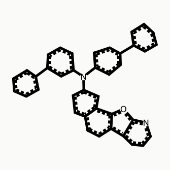 c1ccc(-c2ccc(N(c3cccc(-c4ccccc4)c3)c3ccc4ccc5c6cccnc6oc5c4c3)cc2)cc1